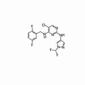 Fc1ccc(F)c(CNc2nc(Nc3cnn(C(F)F)c3)ncc2Cl)c1